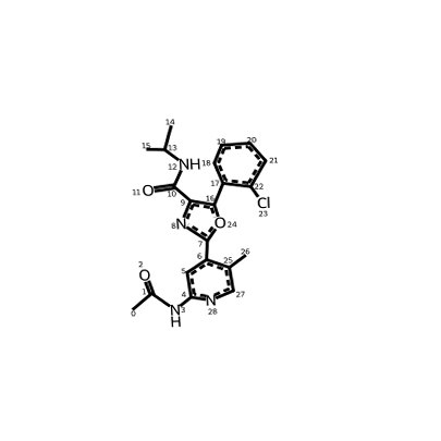 CC(=O)Nc1cc(-c2nc(C(=O)NC(C)C)c(-c3ccccc3Cl)o2)c(C)cn1